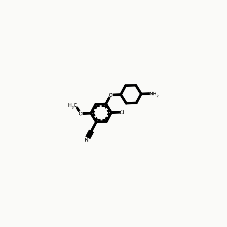 COc1cc(OC2CCC(N)CC2)c(Cl)cc1C#N